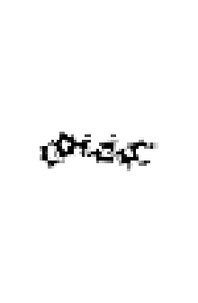 O=C(Nc1ccn([C@@H]2OC(CO)[C@H](O)C2(F)F)c(=O)n1)c1ccc2c(c1)OCCCO2